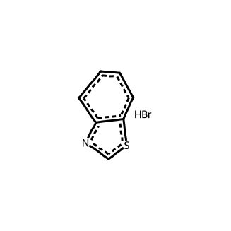 Br.c1ccc2scnc2c1